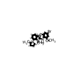 COc1cc(Br)cc(C)c1Nc1nc2cccc(N3CCCC3C)c2n1C